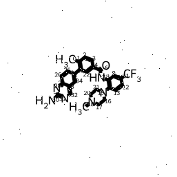 Cc1ccc(C(=O)Nc2cc(C(F)(F)F)ccc2N2CCN(C)CC2)cc1-c1ccc2nc(N)ncc2c1